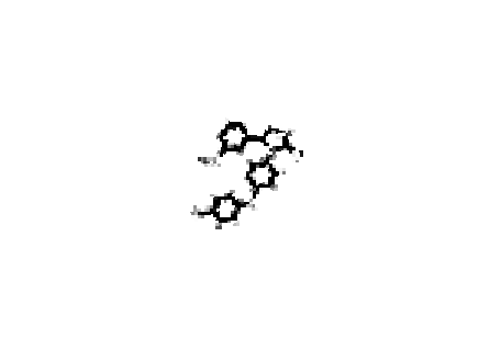 COc1cccc(C2CNC(=O)N2c2ccc(Oc3ccc(Cl)cc3)cc2)c1